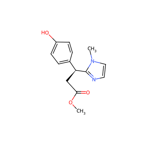 COC(=O)C[C@@H](c1ccc(O)cc1)c1nccn1C